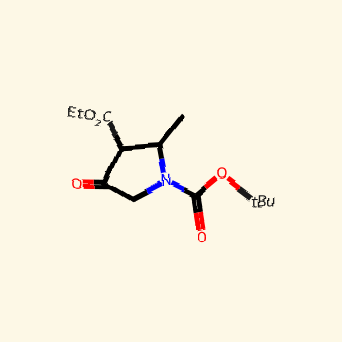 CCOC(=O)C1C(=O)CN(C(=O)OC(C)(C)C)C1C